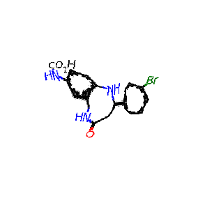 O=C(O)Nc1ccc2c(c1)NC(=O)CC(c1cccc(Br)c1)N2